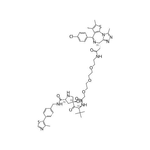 Cc1ncsc1-c1ccc(CNC(=O)[C@@H]2C[C@@](O)(C(=O)[C@@H](NC(=O)COCCOCCOCCNC(=O)C[C@@H]3N=C(c4ccc(Cl)cc4)c4c(sc(C)c4C)-n4c(C)nnc43)C(C)(C)C)CN2)cc1